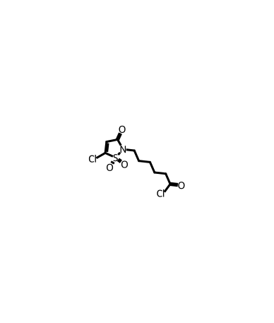 O=C(Cl)CCCCCN1C(=O)C=C(Cl)S1(=O)=O